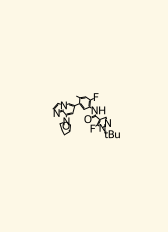 Cc1cc(F)c(NC(=O)c2cnn(C(C)(C)C)c2F)cc1-c1cc(N2CC3CC(C2)O3)c2nccn2c1